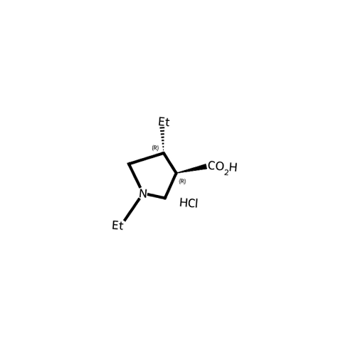 CC[C@H]1CN(CC)C[C@@H]1C(=O)O.Cl